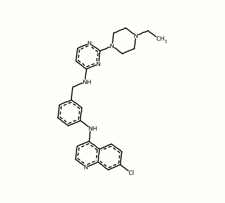 CCN1CCN(c2nccc(NCc3cccc(Nc4ccnc5cc(Cl)ccc45)c3)n2)CC1